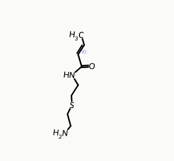 C/C=C/C(=O)NCCSCCN